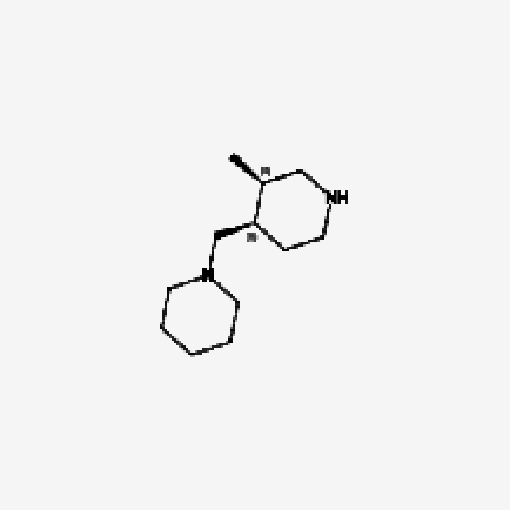 C[C@H]1CNCC[C@H]1CN1CCCCC1